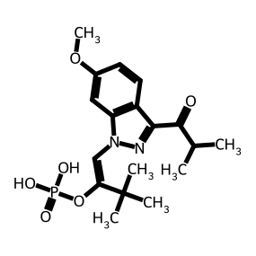 COc1ccc2c(C(=O)C(C)C)nn(C=C(OP(=O)(O)O)C(C)(C)C)c2c1